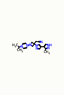 Cc1n[nH]cc1-c1cnn(C2(CC#N)CN(N3C=CN(C(C)C)C=C3)C2)c1